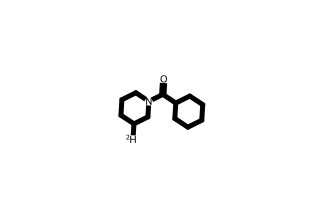 [2H]C1CCCN(C(=O)C2CCCCC2)C1